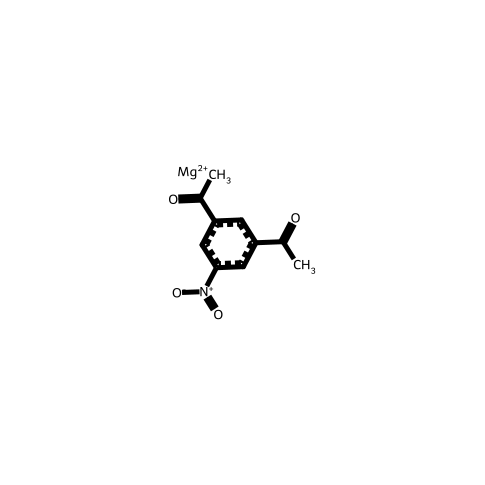 CC(=O)c1cc(C(C)=O)cc([N+](=O)[O-])c1.[Mg+2]